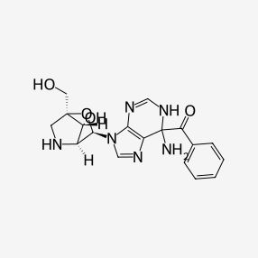 NC1(C(=O)c2ccccc2)NC=Nc2c1ncn2[C@@H]1O[C@]2(CO)CN[C@H]1[C@H]2O